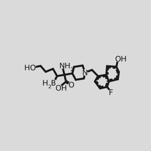 BC(CCCO)C(N)(C(=O)O)C1CCN(Cc2ccc(F)c3ccc(O)cc23)CC1